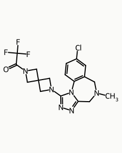 CN1Cc2cc(Cl)ccc2-n2c(nnc2N2CC3(CN(C(=O)C(F)(F)F)C3)C2)C1